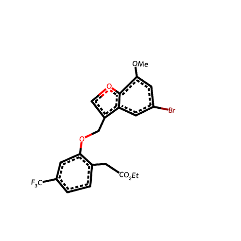 CCOC(=O)Cc1ccc(C(F)(F)F)cc1OCc1coc2c(OC)cc(Br)cc12